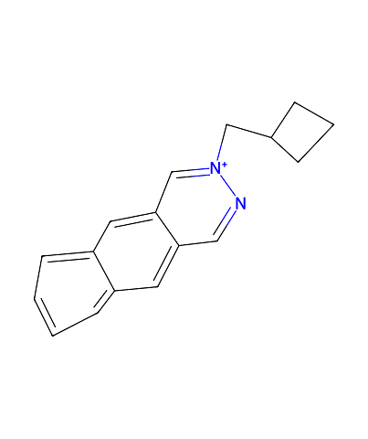 c1ccc2cc3c[n+](CC4CCC4)ncc3cc2c1